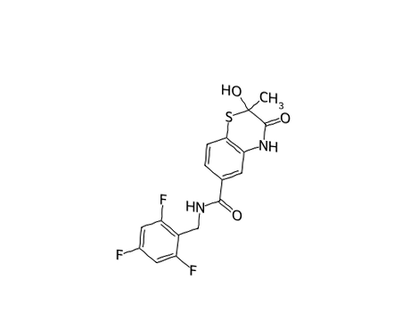 CC1(O)Sc2ccc(C(=O)NCc3c(F)cc(F)cc3F)cc2NC1=O